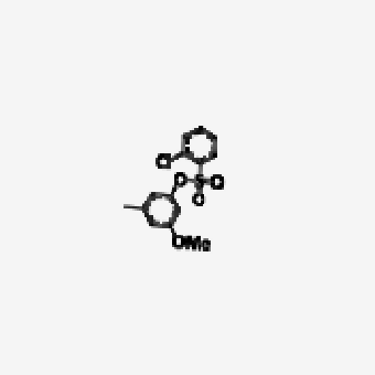 COc1cc(C)cc(OS(=O)(=O)c2ccccc2Cl)c1